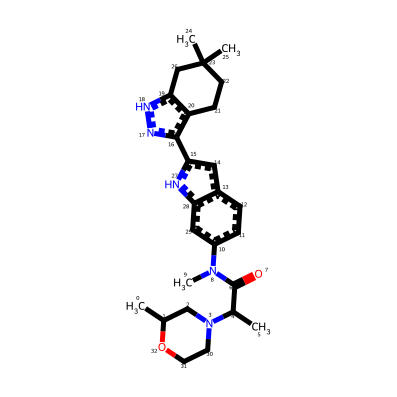 CC1CN(C(C)C(=O)N(C)c2ccc3cc(-c4n[nH]c5c4CCC(C)(C)C5)[nH]c3c2)CCO1